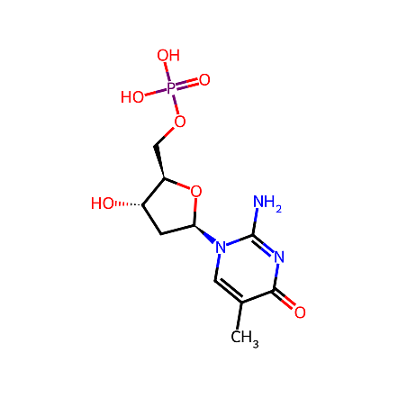 Cc1cn([C@H]2C[C@H](O)[C@@H](COP(=O)(O)O)O2)c(N)nc1=O